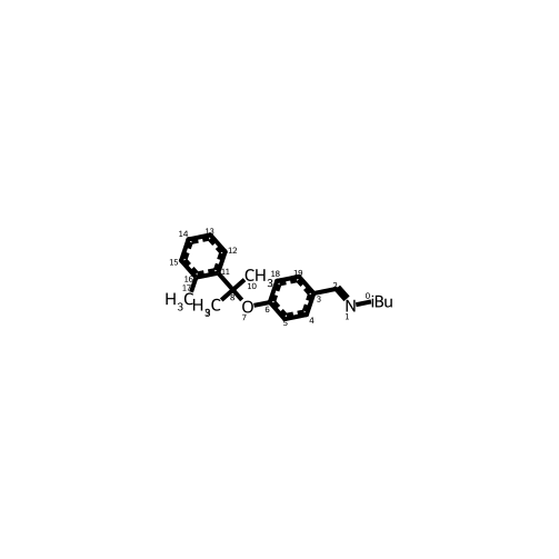 CCC(C)N=Cc1ccc(OC(C)(C)c2ccccc2C)cc1